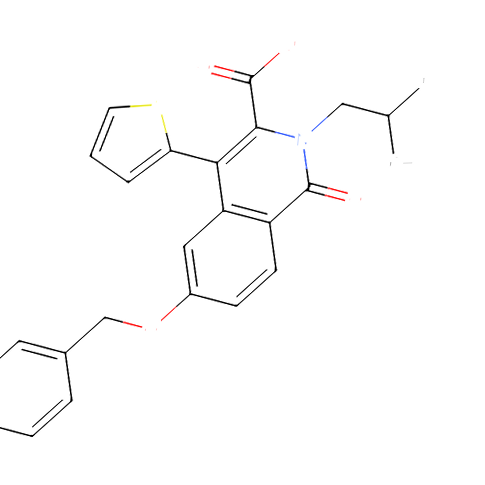 CC(C)Cn1c(C(=O)O)c(-c2cccs2)c2cc(OCc3ccccc3)ccc2c1=O